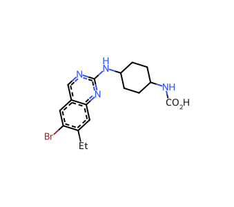 CCc1cc2nc(NC3CCC(NC(=O)O)CC3)ncc2cc1Br